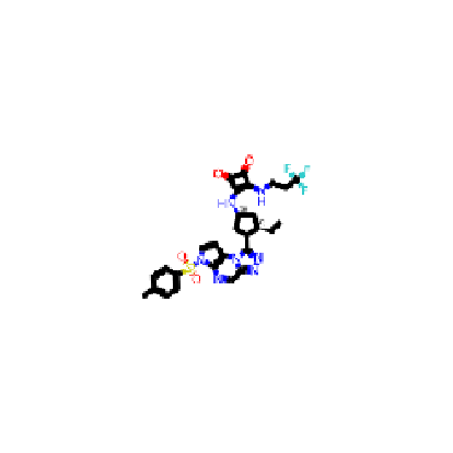 CC[C@@H]1C[C@H](Nc2c(NCCC(F)(F)F)c(=O)c2=O)CC1c1nnc2cnc3c(ccn3S(=O)(=O)c3ccc(C)cc3)n12